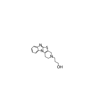 OCCCN1CCc2c(sc3nc4ccccc4n23)C1